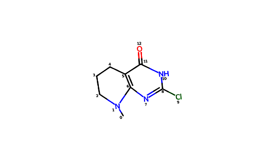 CN1CCCc2c1nc(Cl)[nH]c2=O